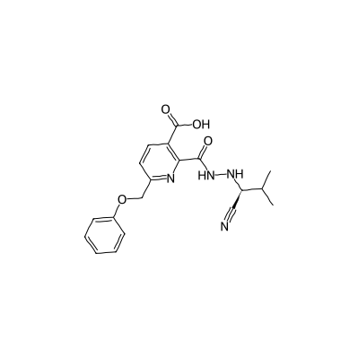 CC(C)[C@@H](C#N)NNC(=O)c1nc(COc2ccccc2)ccc1C(=O)O